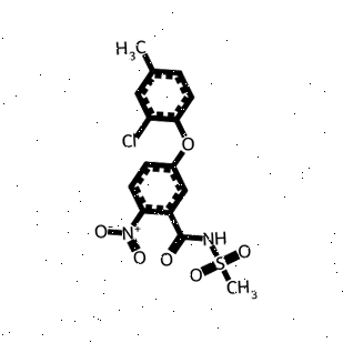 Cc1ccc(Oc2ccc([N+](=O)[O-])c(C(=O)NS(C)(=O)=O)c2)c(Cl)c1